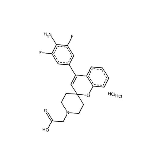 Cl.Cl.Nc1c(F)cc(C2=CC3(CCN(CC(=O)O)CC3)Oc3ccccc32)cc1F